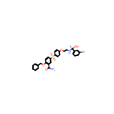 C[C@@](O)(NCCOc1ccc(S(=O)(=O)c2ccc(OCc3ccccc3)c(C(N)=O)c2)cc1)c1cccc(Cl)c1